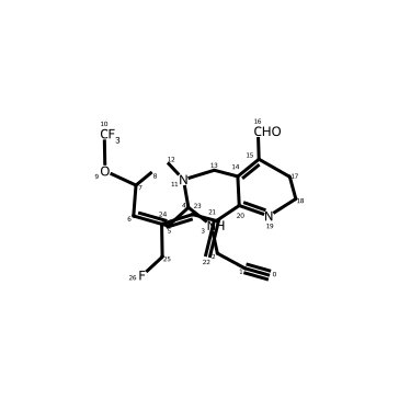 C#CCNC(/C=C\C(C)OC(F)(F)F)N(C)CC1=C(C=O)CCN=C1C(=C)/C=C\CF